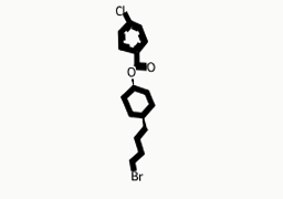 O=C(O[C@H]1CC[C@H](CCCCBr)CC1)c1ccc(Cl)cc1